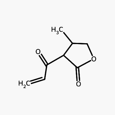 C=CC(=O)C1C(=O)OCC1C